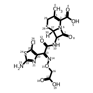 CC1=C(C(=O)O)N2C(=O)C(NC(=O)C(=NOCC(=O)O)c3nc(N)sc3Cl)[C@@H]2SC1